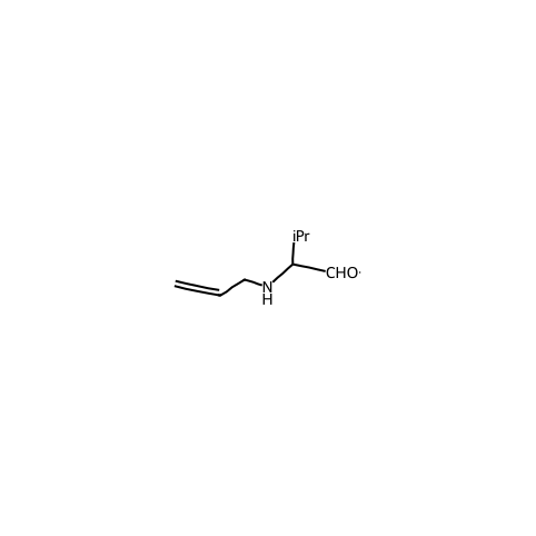 C=CCNC([C]=O)C(C)C